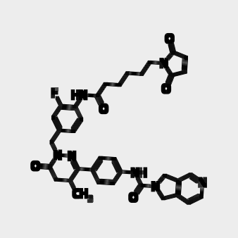 CC1CC(=O)N(Cc2ccc(NC(=O)CCCCCN3C(=O)C=CC3=O)c(F)c2)N=C1c1ccc(NC(=O)N2Cc3ccncc3C2)cc1